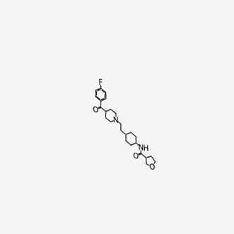 O=C(NC1CCC(CCN2CCC(C(=O)c3ccc(F)cc3)CC2)CC1)C1CCOC1